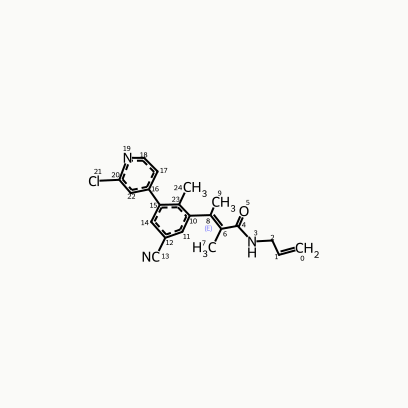 C=CCNC(=O)/C(C)=C(\C)c1cc(C#N)cc(-c2ccnc(Cl)c2)c1C